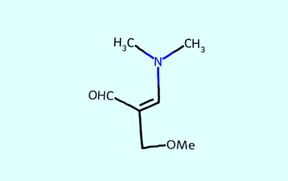 COCC(C=O)=CN(C)C